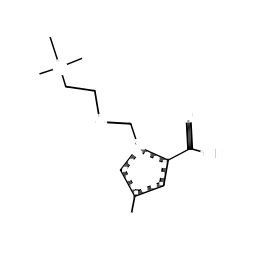 C[Si](C)(C)CCOCn1cc(I)cc1C(=O)O